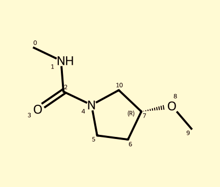 CNC(=O)N1CC[C@@H](OC)C1